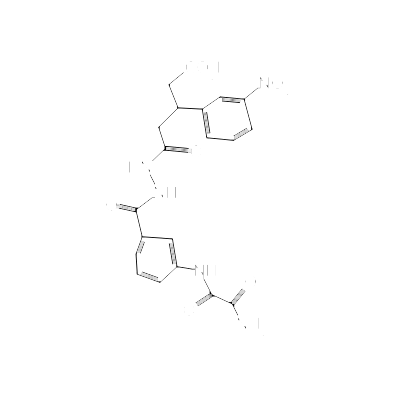 NC(=O)C(=O)Nc1cccc(C(=O)NNC(=O)CC(CC(=O)O)c2cccc([N+](=O)[O-])c2)c1